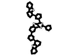 c1ccc(-c2nc(-c3cccc(-c4cccc5c4sc4ccccc45)c3)c3oc4ccc(-c5cccc(-c6cccc7c6sc6ccccc67)c5)cc4c3n2)cc1